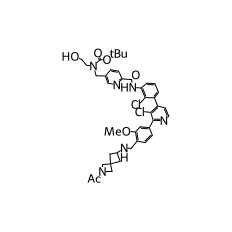 COc1cc(-c2nccc(-c3cccc(NC(=O)c4ccc(CN(CCO)C(=O)OC(C)(C)C)cn4)c3Cl)c2Cl)ccc1CNC1CC2(C1)CN(C(C)=O)C2